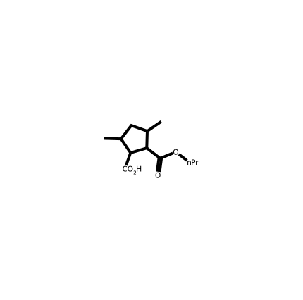 CCCOC(=O)C1C(C)CC(C)C1C(=O)O